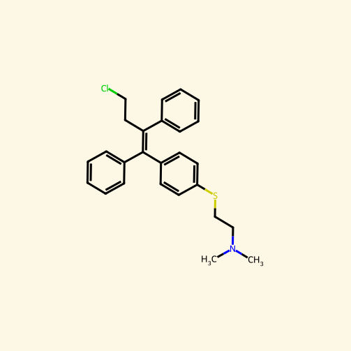 CN(C)CCSc1ccc(/C(=C(/CCCl)c2ccccc2)c2ccccc2)cc1